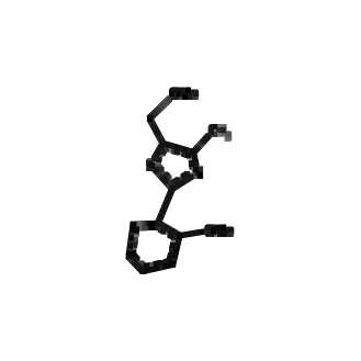 COCc1sc(-c2ccccc2OC)nc1C